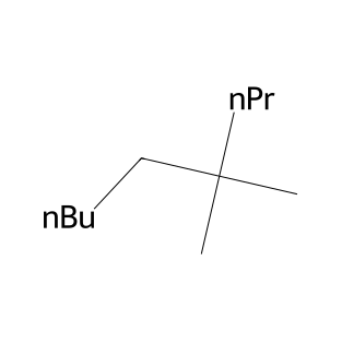 [CH2]CCCCC(C)(C)CCC